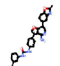 Cc1cccc(NC(=O)Nc2ccc(-c3coc4c(-c5ccc6oc(C)nc6c5)cnc(N)c34)cc2)c1